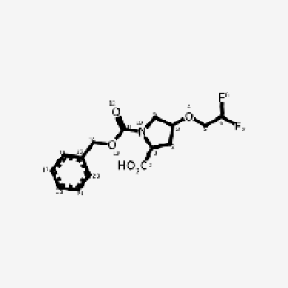 O=C(O)C1CC(OCC(F)F)CN1C(=O)OCc1ccccc1